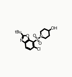 CC(C)(C)c1nc2ccc(Cl)c(S(=O)(=O)N3CCC(O)CC3)c2o1